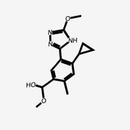 COc1nnc(-c2cc(C(O)OC)c(C)cc2C2CC2)[nH]1